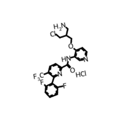 Cl.NCC(CCl)COc1ccncc1NC(=O)c1ccc(C(F)(F)F)c(-c2c(F)cccc2F)n1